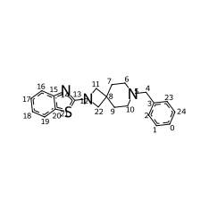 c1ccc(CN2CCC3(CC2)CN(c2nc4ccccc4s2)C3)cc1